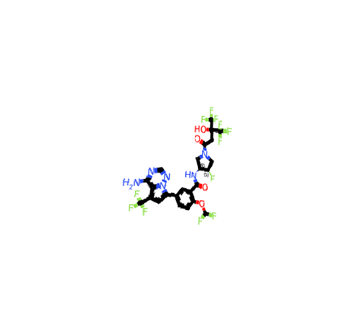 Nc1ncnn2c(-c3ccc(OC(F)F)c(C(=O)N[C@@H]4CN(C(=O)CC(O)(C(F)(F)F)C(F)(F)F)C[C@@H]4F)c3)cc(C(F)(F)F)c12